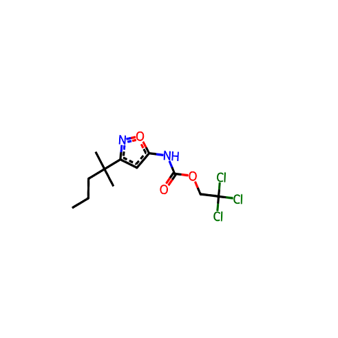 CCCC(C)(C)c1cc(NC(=O)OCC(Cl)(Cl)Cl)on1